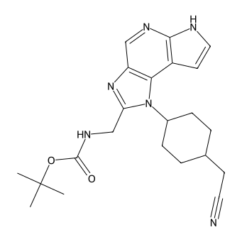 CC(C)(C)OC(=O)NCc1nc2cnc3[nH]ccc3c2n1C1CCC(CC#N)CC1